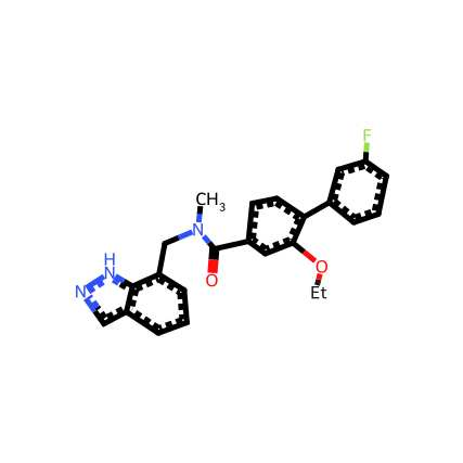 CCOc1cc(C(=O)N(C)Cc2cccc3cn[nH]c23)ccc1-c1cccc(F)c1